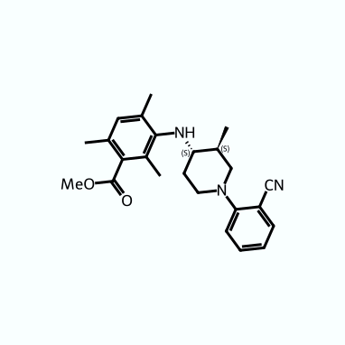 COC(=O)c1c(C)cc(C)c(N[C@H]2CCN(c3ccccc3C#N)C[C@@H]2C)c1C